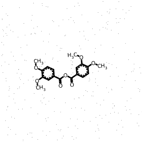 COc1ccc(C(=O)OC(=O)c2ccc(OC)c(OC)c2)cc1OC